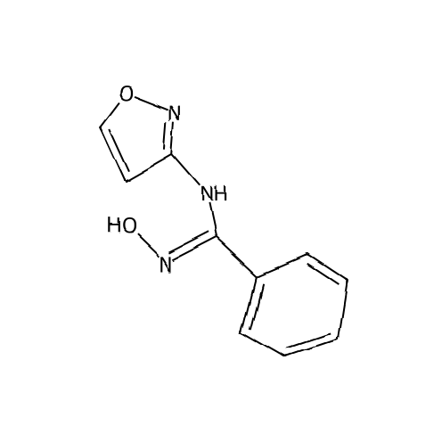 ON=C(Nc1ccon1)c1ccccc1